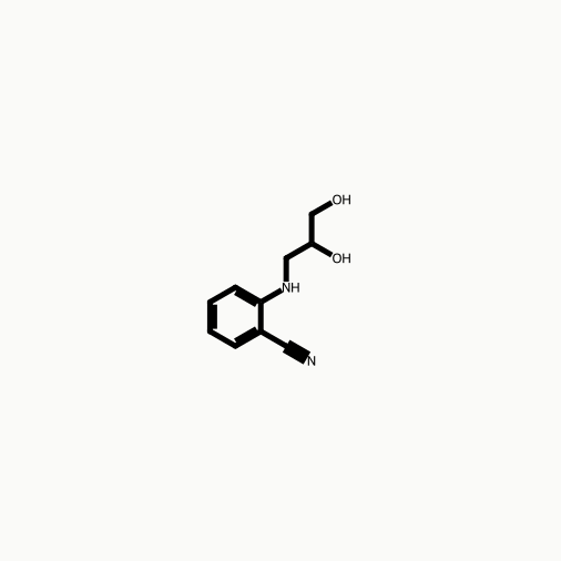 N#Cc1ccccc1NCC(O)CO